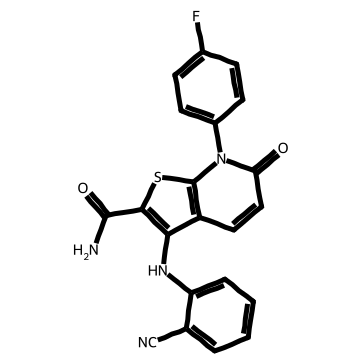 N#Cc1ccccc1Nc1c(C(N)=O)sc2c1ccc(=O)n2-c1ccc(F)cc1